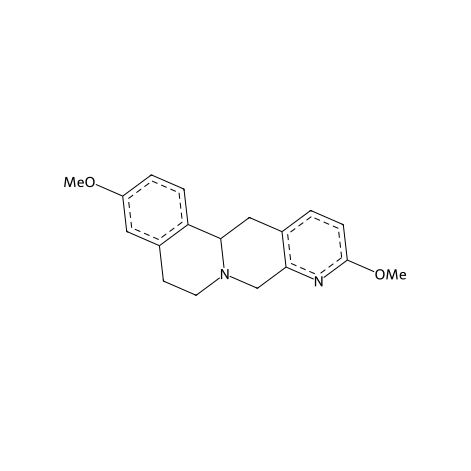 COc1ccc2c(c1)CCN1Cc3nc(OC)ccc3CC21